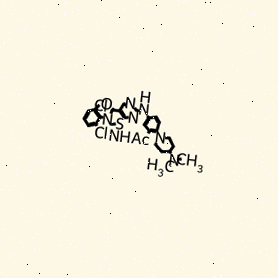 CC(=O)Nc1cc(Nc2ncc3c(n2)SCN(c2c(Cl)cccc2Cl)C3=O)ccc1N1CCC(N(C)C)CC1